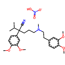 COc1ccc(CCN(C)CCCC(C#N)(c2ccc(OC)c(OC)c2)C(C)C)cc1OC.O=[N+]([O-])O